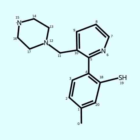 Cc1ccc(-c2ncccc2CN2CC[N]CC2)c(S)c1